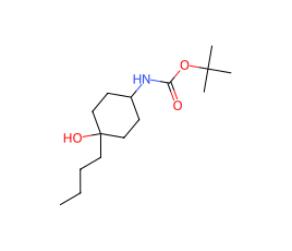 CCCCC1(O)CCC(NC(=O)OC(C)(C)C)CC1